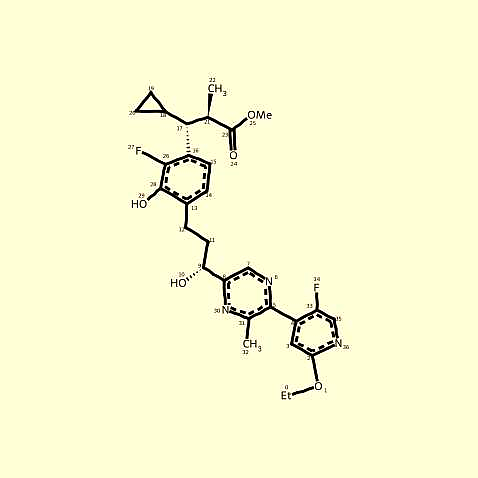 CCOc1cc(-c2ncc([C@H](O)CCc3ccc([C@H](C4CC4)[C@@H](C)C(=O)OC)c(F)c3O)nc2C)c(F)cn1